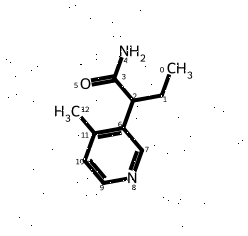 CCC(C(N)=O)c1cnccc1C